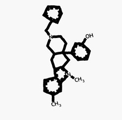 Cc1ccc2c3c(n(C)c2c1)CC1(c2cccc(O)c2)CCN(Cc2ccccc2)CC1C3